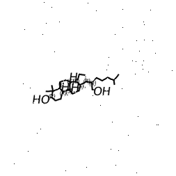 CC(C)CCC[C@@H](CO)[C@H]1CC[C@H]2[C@@H]3CC=C4C(C)(C)[C@H](O)CC[C@]4(C)[C@H]3CC[C@]12C